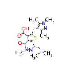 Cc1nn(C)c(C)c1Cc1sc2c(CC(C)C)nn(C)c(=O)c2c1C(=O)O